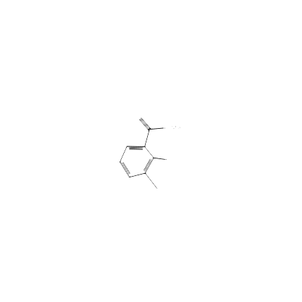 [CH2]c1cccc(C(=O)OC)c1Cl